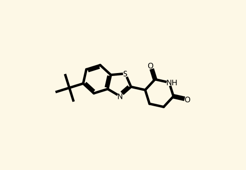 CC(C)(C)c1ccc2sc(C3CCC(=O)NC3=O)nc2c1